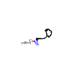 CCCCON=CCc1cc[c]cc1